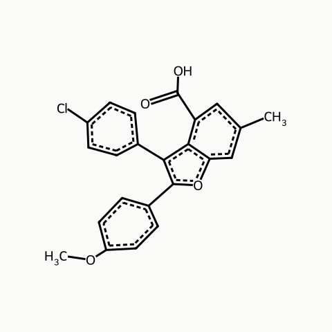 COc1ccc(-c2oc3cc(C)cc(C(=O)O)c3c2-c2ccc(Cl)cc2)cc1